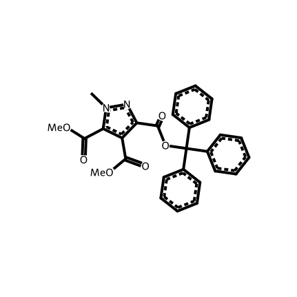 COC(=O)c1c(C(=O)OC(c2ccccc2)(c2ccccc2)c2ccccc2)nn(C)c1C(=O)OC